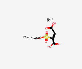 O=C(O)CC(C(=O)O)S(=O)(=O)O.[NaH].[NaH].[NaH].[NaH]